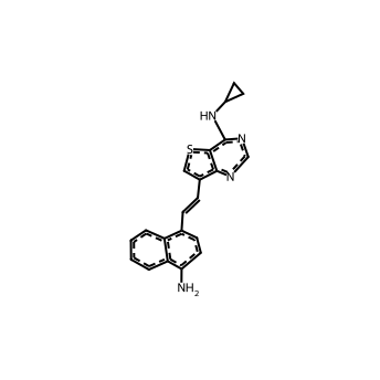 Nc1ccc(C=Cc2csc3c(NC4CC4)ncnc23)c2ccccc12